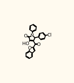 O=C(C1=C(O)C(=O)N(c2ccccc2)C1c1ccc(Cl)cc1)c1cc2ccccc2o1